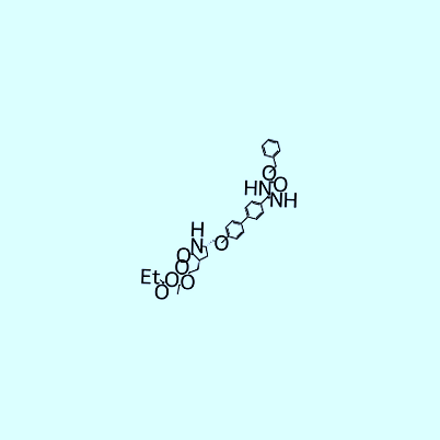 CCC(=O)OC(C)OC(=O)C[C@@H]1C[C@@H](COc2ccc(-c3ccc(C(=N)NC(=O)OCc4ccccc4)cc3)cc2)NC1=O